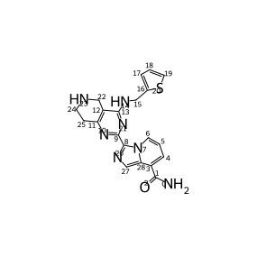 NC(=O)c1cccn2c(-c3nc4c(c(NCc5cccs5)n3)CNCC4)ncc12